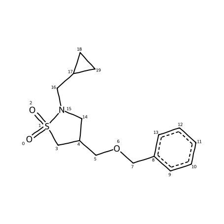 O=S1(=O)CC(COCc2ccccc2)CN1CC1CC1